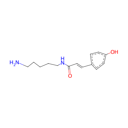 NCCCCCNC(=O)/C=C/c1ccc(O)cc1